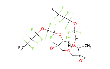 CC(OC(F)(F)C(F)(F)OC(F)(F)C(F)(F)C(F)(F)C(F)(F)F)C1(COCC2(C(C)OC(F)(F)C(F)(F)OC(F)(F)C(F)(F)C(F)(F)C(F)(F)F)CO2)CO1